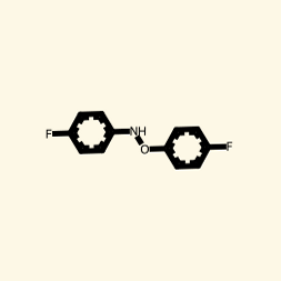 Fc1ccc(NOc2ccc(F)cc2)cc1